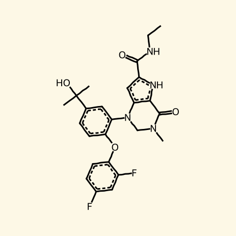 CCNC(=O)c1cc2c([nH]1)C(=O)N(C)CN2c1cc(C(C)(C)O)ccc1Oc1ccc(F)cc1F